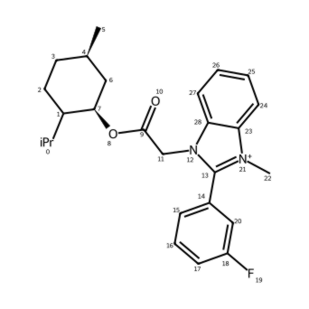 CC(C)C1CC[C@@H](C)C[C@H]1OC(=O)Cn1c(-c2cccc(F)c2)[n+](C)c2ccccc21